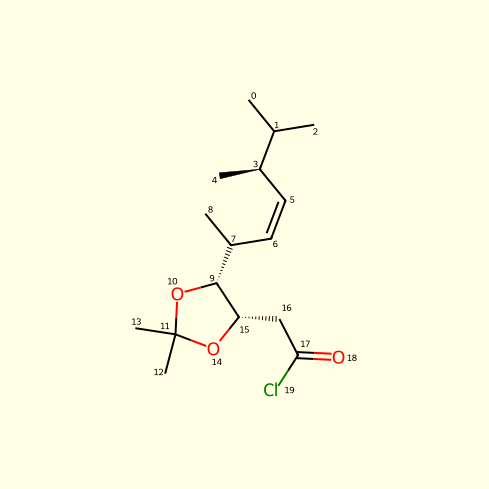 CC(C)[C@H](C)/C=C\C(C)[C@H]1OC(C)(C)O[C@H]1CC(=O)Cl